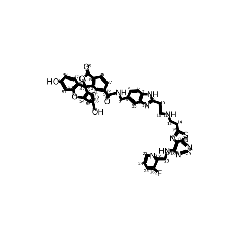 O=C(NCc1ccc2[nH]c(CCNCCc3nc4c(NCc5ncccc5F)ncnc4s3)nc2c1)c1ccc2c(c1)C1(OC2=O)c2ccc(O)cc2Oc2cc(O)ccc21